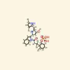 COC1=CC(c2cc3ccccc3n2C(=O)CC(C)(C)c2c(C)cccc2OP(=O)(O)O)=NC1=Cc1[nH]c(C)cc1C